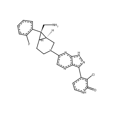 NC[C@]1(c2ccccc2F)[C@@H]2CCN(c3cnc4c(-c5cc[nH]c(=O)c5Cl)n[nH]c4n3)C[C@@H]21